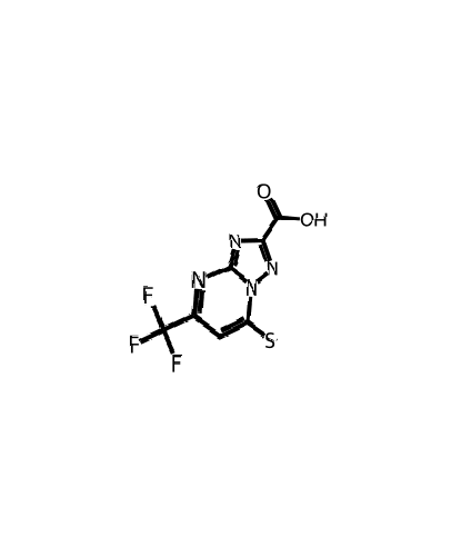 O=C(O)c1nc2nc(C(F)(F)F)cc([S])n2n1